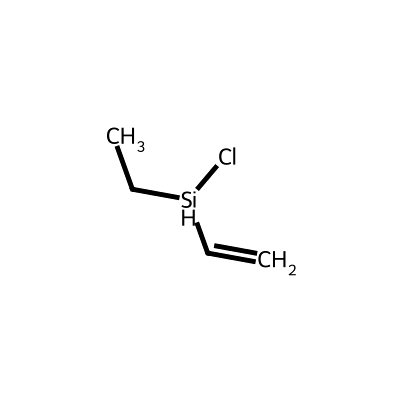 C=C[SiH](Cl)CC